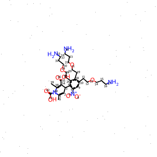 CC1=CC(c2c([N+](=O)[O-])cc(CCOCCCN)c(CCOCCCN)c2CCOCCCN)C(C(=O)O)=C(C)N1C(=O)O